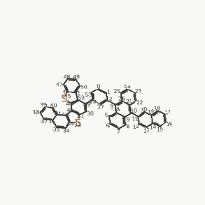 c1cc(-c2c3ccccc3c(-c3ccc4ccccc4c3)c3ccccc23)cc(-c2cc3sc4ccc5ccccc5c4c3c3sc4ccccc4c23)c1